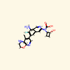 Cc1c(-c2cc3cc(N(C(=O)O)[C@@H]4CC[C@@H]4O)ncc3c(N)c2F)cnc2c1NCCO2